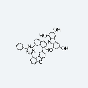 Oc1cc(O)c2c(c1)c1cc(O)cc(O)c1n2-c1cccc(-c2ccc3oc4cccc(-c5nc(-c6ccccc6)nc(-c6ccccc6)n5)c4c3c2)c1